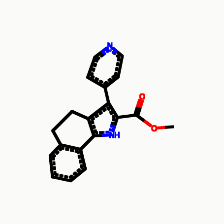 COC(=O)c1[nH]c2c(c1-c1ccncc1)CCc1ccccc1-2